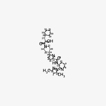 Cc1cc(C)n(-c2ncccc2NC(=O)c2csc(C3CCN(C(=O)[C@H](O)Cc4ccccc4)CC3)n2)n1